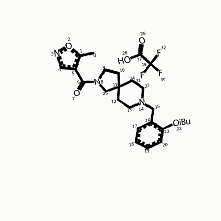 Cc1oncc1C(=O)N1CCC2(CCN(Cc3ccccc3OCC(C)C)CC2)C1.O=C(O)C(F)(F)F